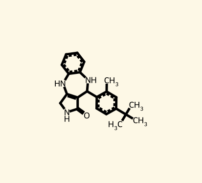 Cc1cc(C(C)(C)C)ccc1C1Nc2ccccc2NC2=C1C(=O)NC2